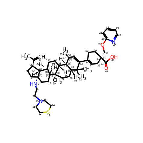 C=C(C)[C@@H]1CC[C@]2(NCCN3CCSCC3)CC[C@]3(C)[C@H](CC[C@@H]4[C@@H]5[C@@H](CC[C@]43C)C(C)(C)C(C3=CC[C@](COc4ccccn4)(C(=O)O)CC3)=C[C@@H]5C)[C@@H]12